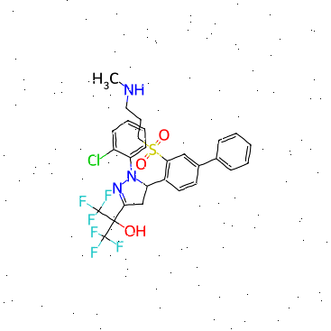 CNCCCS(=O)(=O)c1cc(-c2ccccc2)ccc1C1CC(C(O)(C(F)(F)F)C(F)(F)F)=NN1c1ccccc1Cl